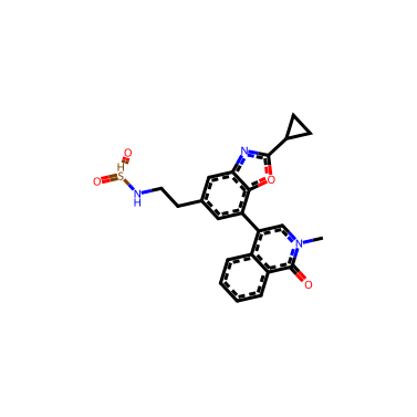 Cn1cc(-c2cc(CCN[SH](=O)=O)cc3nc(C4CC4)oc23)c2ccccc2c1=O